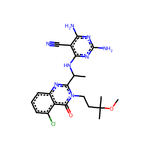 COC(C)(C)CCn1c(C(C)Nc2nc(N)nc(N)c2C#N)nc2cccc(Cl)c2c1=O